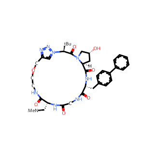 CNC[C@H]1NC(=O)CNC(=O)[C@@H](Cc2ccc(-c3ccccc3)cc2)NC(=O)[C@@H]2C[C@@H](O)CN2C(=O)[C@H](C(C)(C)C)n2cc(nn2)COCCNC1=O